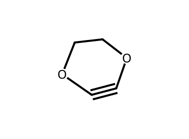 C1#COCCO1